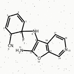 N#CC1C=CC=CC1(F)Nc1c(N)oc2cnccc12